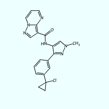 Cn1cc(NC(=O)c2cnn3cccnc23)c(-c2cccc(C3(Cl)CC3)c2)n1